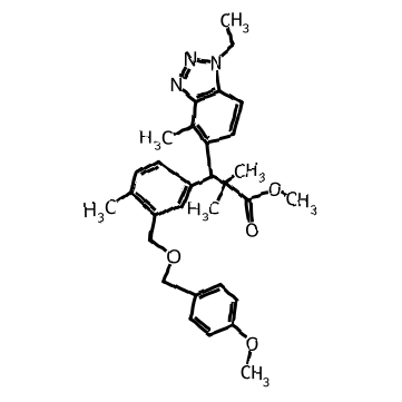 CCn1nnc2c(C)c(C(c3ccc(C)c(COCc4ccc(OC)cc4)c3)C(C)(C)C(=O)OC)ccc21